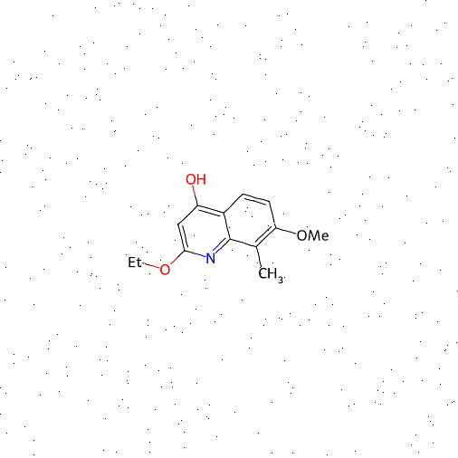 CCOc1cc(O)c2ccc(OC)c(C)c2n1